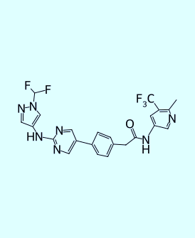 Cc1ncc(NC(=O)Cc2ccc(-c3cnc(Nc4cnn(C(F)F)c4)nc3)cc2)cc1C(F)(F)F